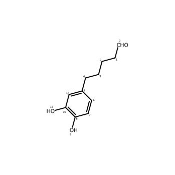 O=CCCC[CH]c1ccc(O)c(O)c1